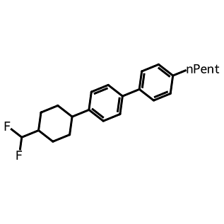 CCCCCc1ccc(-c2ccc(C3CCC(C(F)F)CC3)cc2)cc1